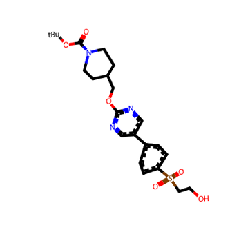 CC(C)(C)OC(=O)N1CCC(COc2ncc(-c3ccc(S(=O)(=O)CCO)cc3)cn2)CC1